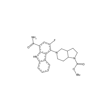 CC(C)(C)OC(=O)N1CCC2CN(c3c(F)cc(C(N)=O)c4[nH]c5ccccc5c34)CCC21